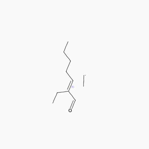 CCCC/C=C(/C=O)CC.[CH2]C